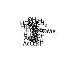 COc1ccc(-c2oc3c(CC=C(C)C)c(O[C@@H]4OC(CO)[C@@H](O)[C@H](O)C4O)cc(O)c3c(=O)c2O[C@@H]2OC(C)[C@H](OC(C)=O)C(O[C@@H]3OC(COC(C)=O)[C@@H](OC(C)=O)[C@H](O)C3O)[C@@H]2O)cc1